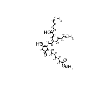 CCCCCC(O)C=C[C@H](C=C[C@H]1[C@H](O)CC(=O)[C@H]1CCCCCCC(=O)OC)CCCCC